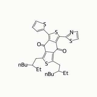 CCCCC(CC)Cc1sc(CC(CC)CCCC)c2c1C(=O)c1c(-c3cccs3)sc(-c3nccs3)c1C2=O